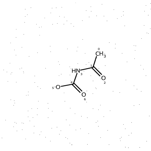 CC(=O)NC([O])=O